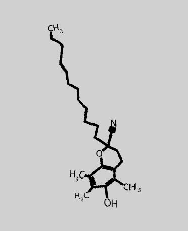 CCCCCCCCCCCCC1(C#N)CCc2c(C)c(O)c(C)c(C)c2O1